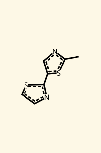 Cc1ncc(-c2nccs2)s1